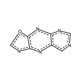 c1ncc2nc3ncoc3nc2n1